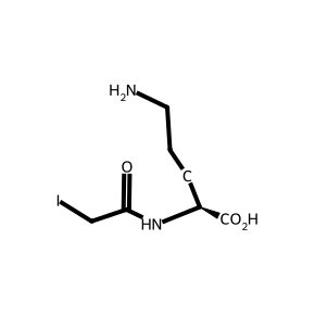 NCCC[C@H](NC(=O)CI)C(=O)O